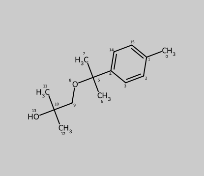 Cc1ccc(C(C)(C)OCC(C)(C)O)cc1